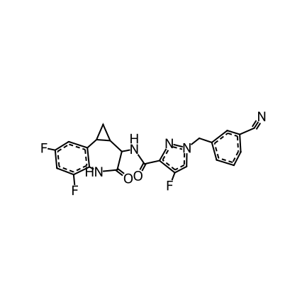 N#Cc1cccc(Cn2cc(F)c(C(=O)NC3C(=O)Nc4c(F)cc(F)cc4C4CC34)n2)c1